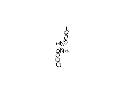 O=C(COc1ccc(Cl)cc1)N[C@H]1CC[C@H](NC(=O)COc2ccc(I)cc2)CC1